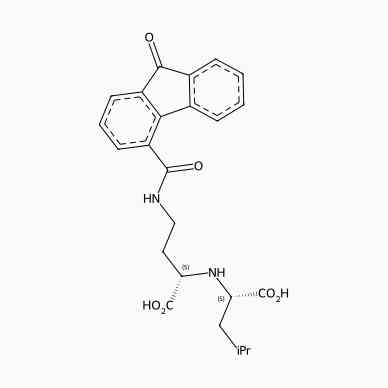 CC(C)C[C@H](N[C@@H](CCNC(=O)c1cccc2c1-c1ccccc1C2=O)C(=O)O)C(=O)O